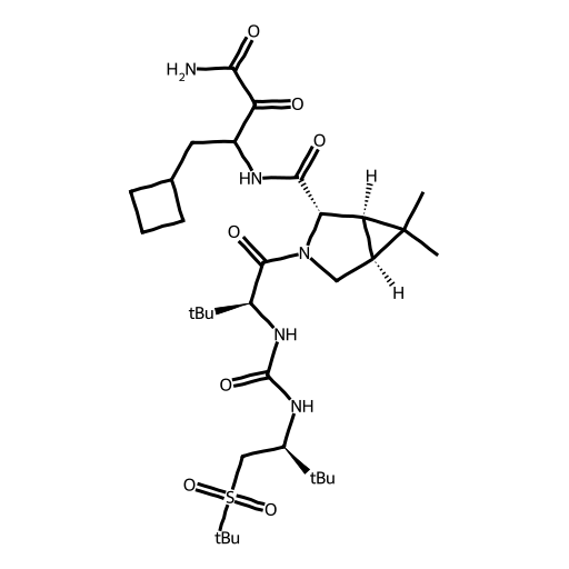 CC(C)(C)[C@H](NC(=O)N[C@H](CS(=O)(=O)C(C)(C)C)C(C)(C)C)C(=O)N1C[C@H]2[C@@H]([C@H]1C(=O)NC(CC1CCC1)C(=O)C(N)=O)C2(C)C